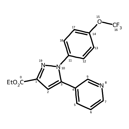 CCOC(=O)c1cc(-c2cccnc2)n(-c2ccc(OC(F)(F)F)cc2)n1